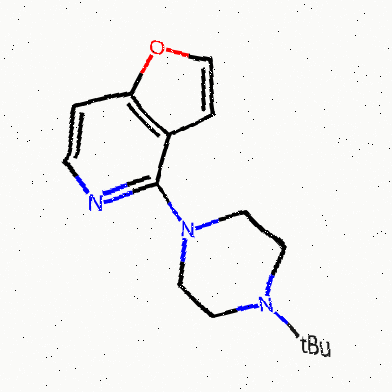 CC(C)(C)N1CCN(c2nccc3occc23)CC1